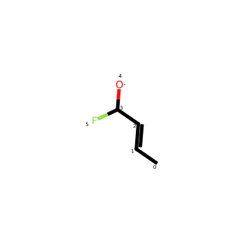 C/C=C/C([O])F